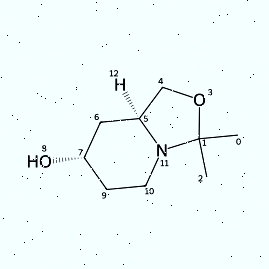 CC1(C)OC[C@@H]2C[C@@H](O)CCN21